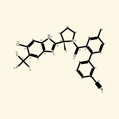 Cc1ccc(-c2cccc(C#N)c2)c(C(=O)N2CCC[C@@]2(C)c2nc3cc(C(F)(F)F)c(Cl)cc3[nH]2)c1